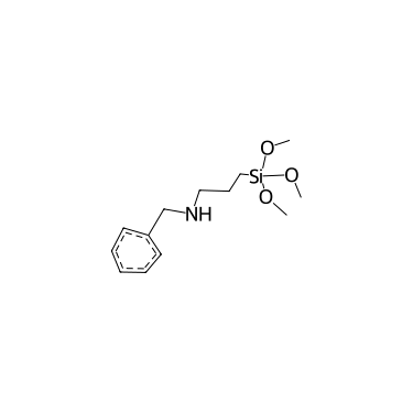 CO[Si](CCCNCc1ccccc1)(OC)OC